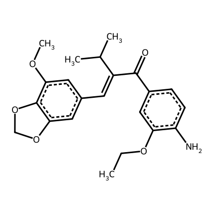 CCOc1cc(C(=O)/C(=C/c2cc(OC)c3c(c2)OCO3)C(C)C)ccc1N